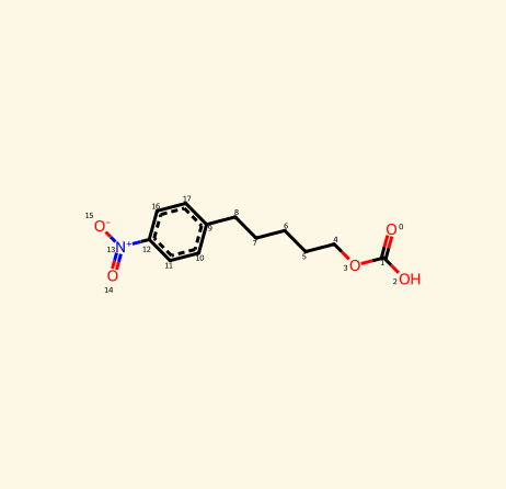 O=C(O)OCCCCCc1ccc([N+](=O)[O-])cc1